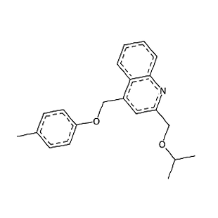 Cc1ccc(OCc2cc(COC(C)C)nc3ccccc23)cc1